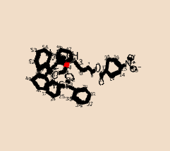 CC(C)(C)[C@H](CCCCOC(=O)c1ccc([N+](=O)[O-])cc1)C(O[SiH](c1ccccc1)c1ccccc1)OC(c1ccccc1)(c1ccccc1)c1ccccc1